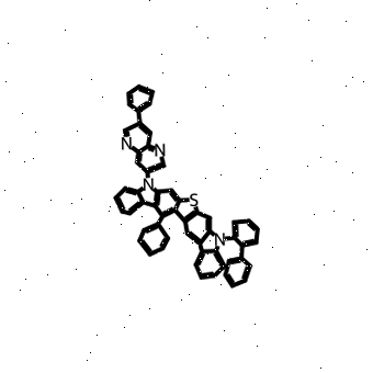 c1ccc(-c2cnc3cc(-n4c5ccccc5c5c(-c6ccccc6)c6c(cc54)sc4cc5c(cc46)c4ccccc4n5-c4ccccc4-c4ccccc4)cnc3c2)cc1